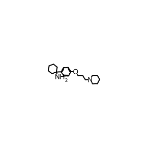 NC1(c2ccc(OCCCN3CCCCC3)cc2)CCCCC1